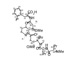 CC[C@H](C)C([C@@H](CC(=O)N1[C@H](C)CCC[C@H]1[C@H](OC)[C@@H](C)C(=O)N[C@@H](Cc1ccccc1F)C(=O)O)OC)N(C)C(=O)[C@@H](NC(=O)[C@@H](NC)C(C)C)C(C)C